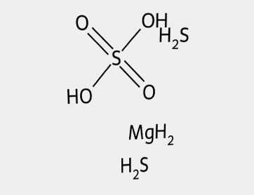 O=S(=O)(O)O.S.S.[MgH2]